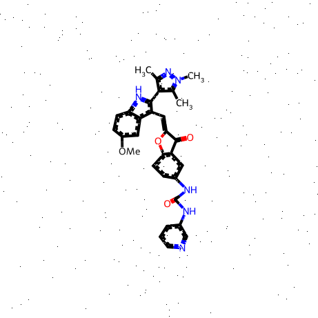 COc1ccc2[nH]c(-c3c(C)nn(C)c3C)c(C=C3Oc4ccc(NC(=O)Nc5cccnc5)cc4C3=O)c2c1